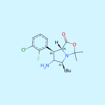 CC(C)(C)[C@H]1C(N)[C@@H](c2cccc(Cl)c2F)[C@@H]2C(=O)OC(C)(C)N21